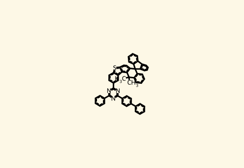 CC1(C)c2ccccc2C2(c3ccccc3-c3ccccc32)c2ccc3sc4ccc(-c5nc(-c6ccccc6)nc(-c6ccc(-c7ccccc7)cc6)n5)cc4c3c21